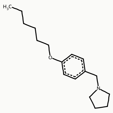 CCCCCCOc1ccc(CN2CCCC2)cc1